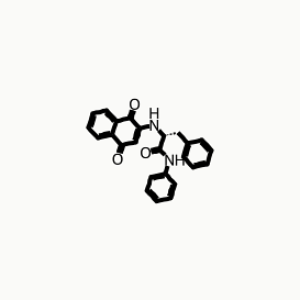 O=C1C=C(N[C@H](Cc2ccccc2)C(=O)Nc2ccccc2)C(=O)c2ccccc21